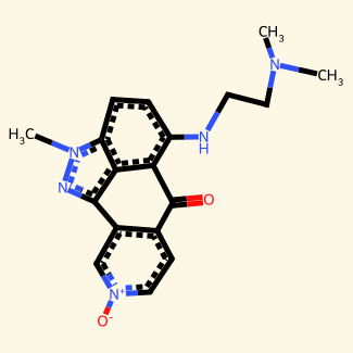 CN(C)CCNc1ccc2c3c(nn2C)-c2c[n+]([O-])ccc2C(=O)c13